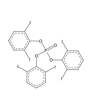 O=P(Oc1c(I)cccc1I)(Oc1c(I)cccc1I)Oc1c(I)cccc1I